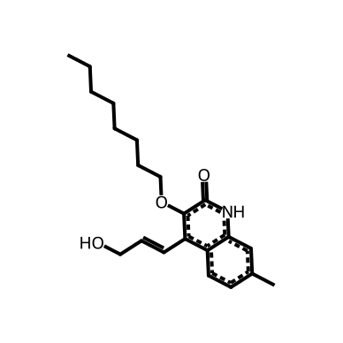 CCCCCCCCOc1c(C=CCO)c2ccc(C)cc2[nH]c1=O